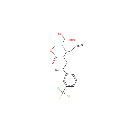 C=CCC1C(CC(=C)c2cccc(C(F)(F)F)c2)C(=O)OCN1C(=O)O